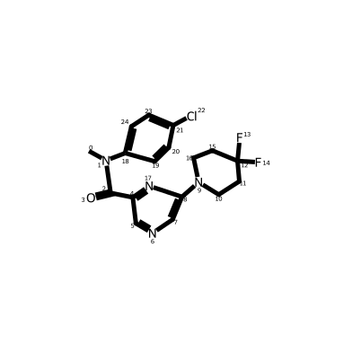 CN(C(=O)c1cncc(N2CCC(F)(F)CC2)n1)c1ccc(Cl)cc1